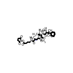 CN[C@H](C(=O)NC(C(=O)N(C)C/C=C(\C)C(=O)NCCCC(=O)ON1C(=O)CCC1=O)C(C)(C)C)C(C)(C)c1ccccc1